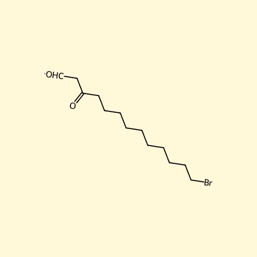 O=[C]CC(=O)CCCCCCCCCCBr